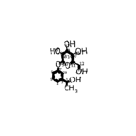 CC(O)c1cccc(O[C@@H]2O[C@H](CO)[C@@H](O)[C@H](O)[C@H]2O)c1